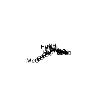 COCCOCCOCCOCCOCCNC(=O)CCC(=O)N[C@@H](CCCNC(=N)N)C(=O)NCCN1CCC(NC(=O)C(=O)Nc2ccc(Cl)cc2)CC12CCCCC2